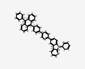 C1=CCC(n2c3ccc(-c4ccc(-c5ccc(-c6c7ccccc7c(-c7ccccc7)c7ccccc67)cc5)cn4)cc3c3cccnc32)C=C1